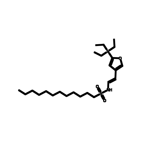 CCCCCCCCCCCCS(=O)(=O)NC=Cc1coc([Si](CC)(CC)CC)c1